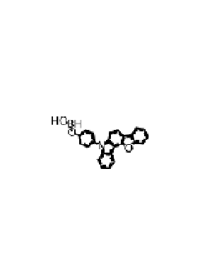 OBOc1ccc(-n2c3ccccc3c3c4oc5ccccc5c4ccc32)cc1